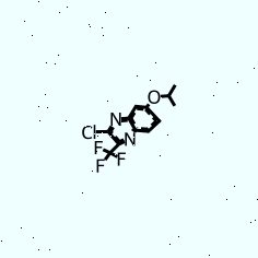 CC(C)Oc1ccc2nc(C(F)(F)F)c(Cl)nc2c1